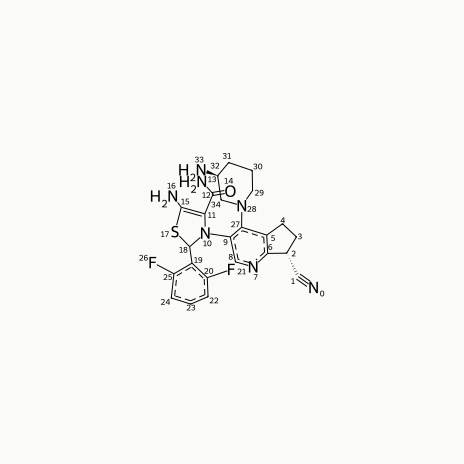 N#C[C@H]1CCc2c1ncc(N1C(C(N)=O)=C(N)SC1c1c(F)cccc1F)c2N1CCC[C@H](N)C1